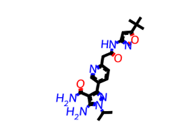 CC(C)n1nc(-c2ccc(CC(=O)Nc3cc(C(C)(C)C)on3)nc2)c(C(N)=O)c1N